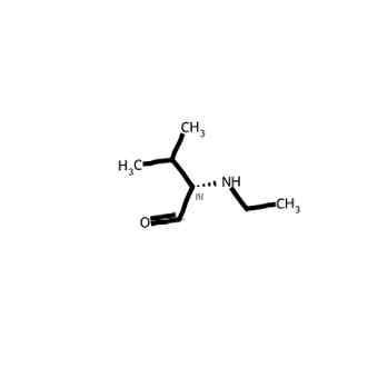 CCN[C@H]([C]=O)C(C)C